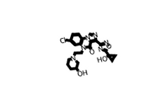 O=c1c2c(-c3noc(C4(O)CC4)n3)ncn2c2ccc(Cl)cc2n1CCN1CCCC(O)C1